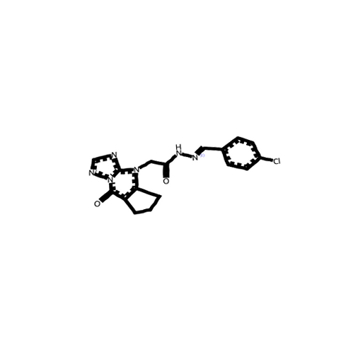 O=C(Cn1c2c(c(=O)n3ncnc13)CCC2)N/N=C/c1ccc(Cl)cc1